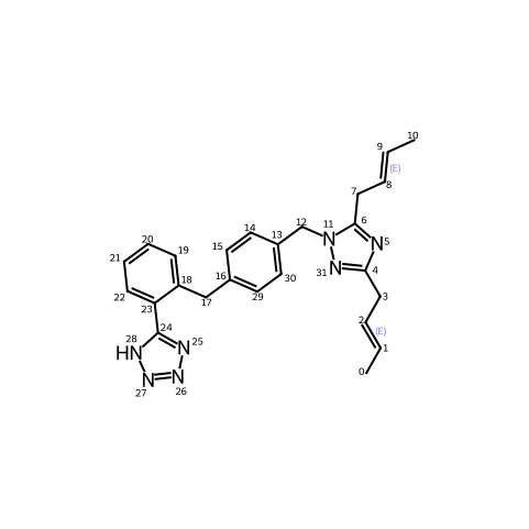 C/C=C/Cc1nc(C/C=C/C)n(Cc2ccc(Cc3ccccc3-c3nnn[nH]3)cc2)n1